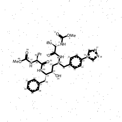 CC[C@H](C)[C@H](NC(=O)OC)C(=O)NN(Cc1ccc(-n2cnnc2)cc1)C[C@H](O)[C@H](Cc1ccccc1)NC(=O)[C@@H](NC(=O)OC)C(C)C